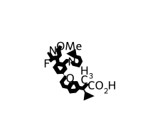 COc1cc(-c2ccc([C@H]3CCc4ccc([C@H](C5CC5)[C@H](C)C(=O)O)cc4O3)cc2CN2CCCCC23CC3)c(F)cn1